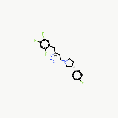 N[C@@H](CCN1CC[C@H](c2ccc(F)cc2)C1)Cc1cc(F)c(F)cc1F